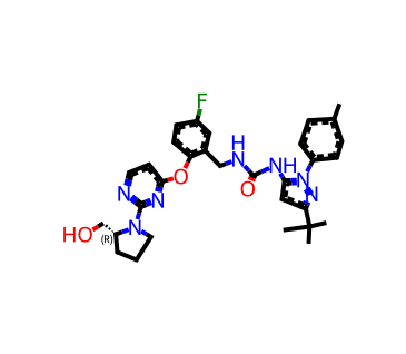 Cc1ccc(-n2nc(C(C)(C)C)cc2NC(=O)NCc2cc(F)ccc2Oc2ccnc(N3CCC[C@@H]3CO)n2)cc1